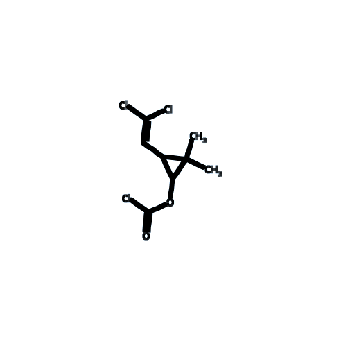 CC1(C)C(C=C(Cl)Cl)C1OC(=O)Cl